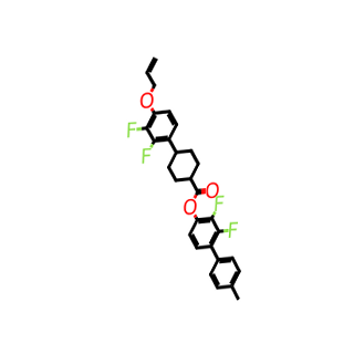 C=CCOc1ccc(C2CCC(C(=O)Oc3ccc(-c4ccc(C)cc4)c(F)c3F)CC2)c(F)c1F